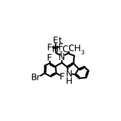 CCC(F)(F)CN1C(c2c(F)cc(Br)cc2F)c2[nH]c3ccccc3c2CC1(C)C